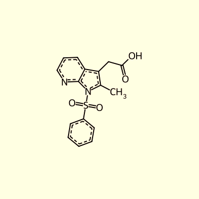 Cc1c(CC(=O)O)c2cccnc2n1S(=O)(=O)c1ccccc1